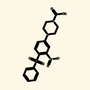 O=C(O)N1CCN(c2ccc(S(=O)(=O)c3ccccc3)c([N+](=O)[O-])c2)CC1